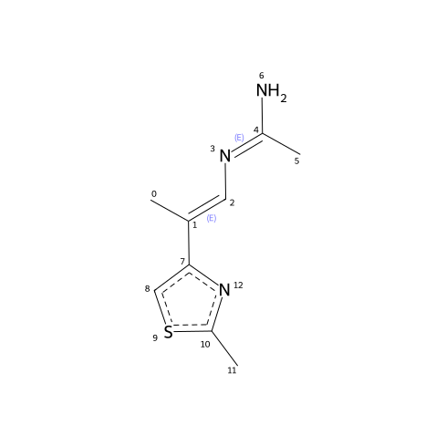 C/C(=C\N=C(/C)N)c1csc(C)n1